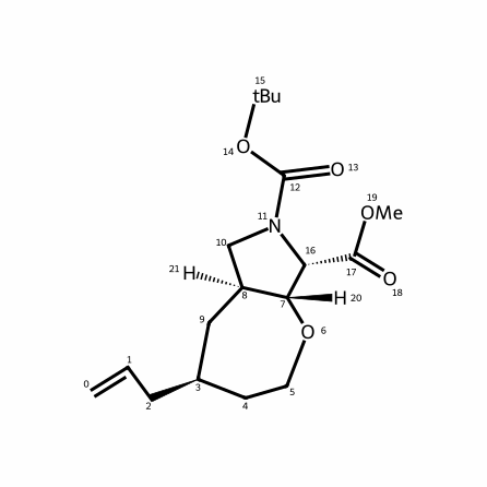 C=CC[C@@H]1CCO[C@@H]2[C@@H](C1)CN(C(=O)OC(C)(C)C)[C@@H]2C(=O)OC